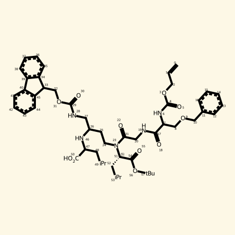 C=CCOC(=O)NC(COCc1ccccc1)C(=O)NCC(=O)N(CCC(CNC(=O)OCC1c2ccccc2-c2ccccc21)NC(CC(C)C)C(=O)O)[C@@H](CC(C)C)C(=O)OC(C)(C)C